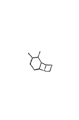 CC1CCC2C3CCC3C2C1C